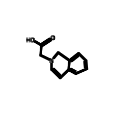 O=C(O)CN1C=Cc2ccccc2C1